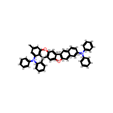 Cc1cc2c3c(c1)N(c1ccccc1)c1ccccc1B3c1cc3oc4cc5cc(N(c6ccccc6)c6ccccc6)ccc5cc4c3cc1O2